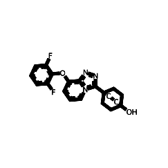 OC12CCC(c3nnc4c(Oc5c(F)cccc5F)cccn34)(CC1)CC2